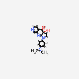 CN(C)c1ccc(N2CCC3(O)C(=O)c4ccncc4N=C23)cc1